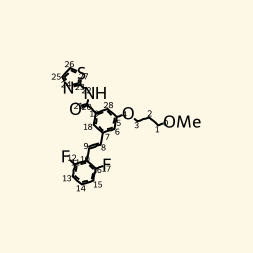 COCCCOc1cc(/C=C/c2c(F)cccc2F)cc(C(=O)Nc2nccs2)c1